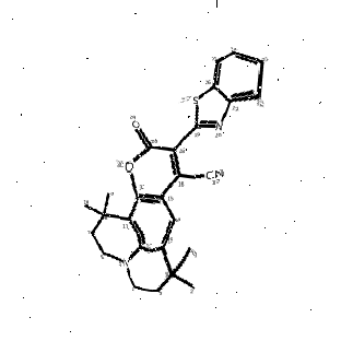 CC1(C)CCN2CCC(C)(C)c3c2c1cc1c(C#N)c(-c2nc4ccccc4s2)c(=O)oc31